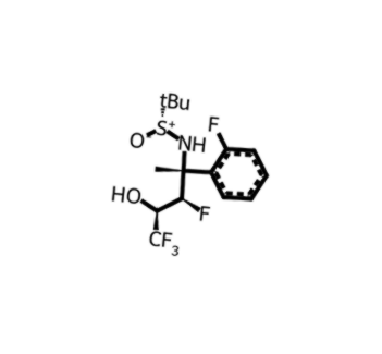 CC(C)(C)[S@@+]([O-])N[C@](C)(c1ccccc1F)[C@@H](F)[C@H](O)C(F)(F)F